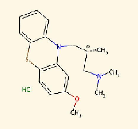 COc1ccc2c(c1)N(C[C@H](C)CN(C)C)c1ccccc1S2.Cl